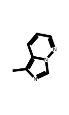 Cc1ncn2ncccc12